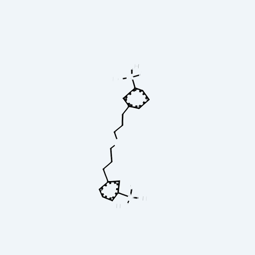 C[Si](C)(C)c1cccc(CCCOCCCc2cccc([Si](C)(C)C)c2)c1